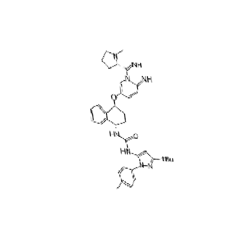 Cc1ccc(-n2nc(C(C)(C)C)cc2NC(=O)N[C@H]2CC[C@H](Oc3ccc(=N)n(C(=N)[C@@H]4CCCN4C)c3)c3ccccc32)cc1